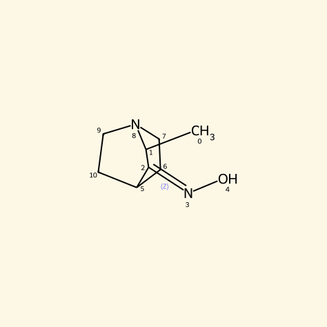 CC1/C(=N\O)C2CCN1CC2